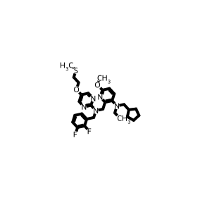 CCN(CC1CCCC1)c1ccc(OC)nc1CN(Cc1cccc(F)c1F)c1ncc(OCCSC)cn1